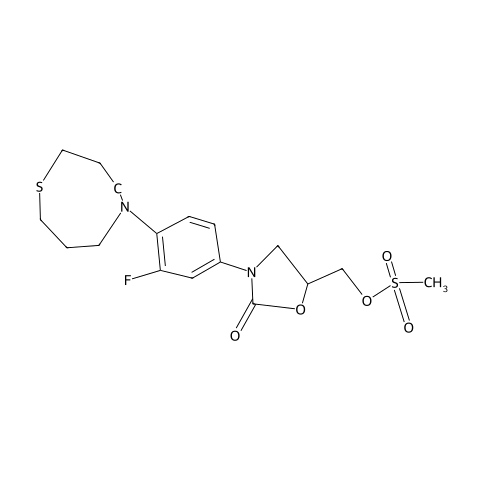 CS(=O)(=O)OCC1CN(c2ccc(N3CCCSCCC3)c(F)c2)C(=O)O1